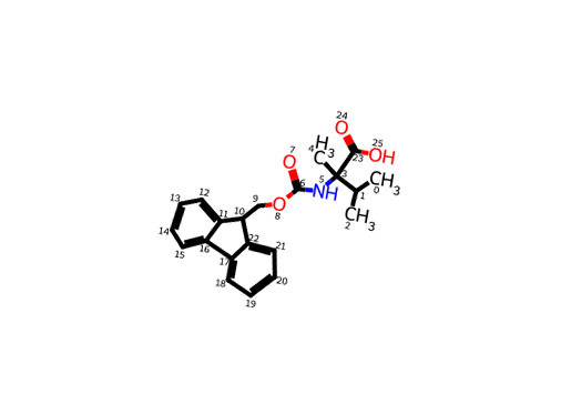 CC(C)C(C)(NC(=O)OCC1c2ccccc2-c2ccccc21)C(=O)O